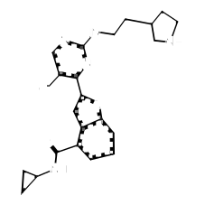 O=C(NC1CC1)c1cccc2sc(-c3nc(NCCC4CCNC4)ncc3Cl)cc12